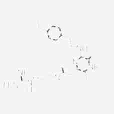 CCc1ccc(CCNc2nc(CC(=O)NCCONC(=N)N)c(C)[nH]c2=O)cc1